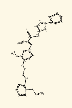 C=CCc1ccccc1OCCOc1ccc(/C=C(\C#N)C(=O)Nc2nnc(-c3ccccc3)s2)cc1OC